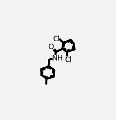 Cc1ccc(CNC(=O)c2c(Cl)cccc2Cl)cc1